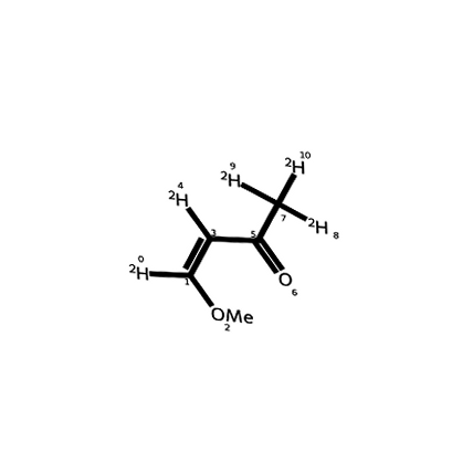 [2H]/C(OC)=C(\[2H])C(=O)C([2H])([2H])[2H]